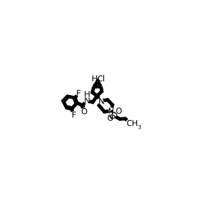 CCCS(=O)(=O)N1CCN(C2(CNC(=O)c3c(F)cccc3F)CC3CC3C2)CC1.Cl